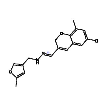 Cc1cc(CN/N=C/C2=Cc3cc(Cl)cc(C)c3OC2)co1